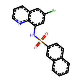 O=S(=O)(Nc1cc(Br)cc2cccnc12)c1ccc2ccccc2c1